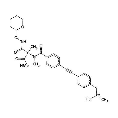 CNC(=O)C(C)(C(=O)NOC1CCCCO1)N(C)C(=O)c1ccc(C#Cc2ccc(C[C@H](C)O)cc2)cc1